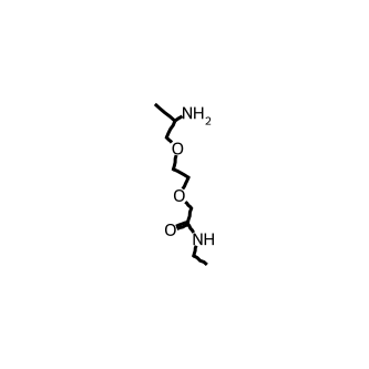 CCNC(=O)COCCOCC(C)N